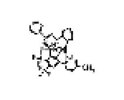 Cc1ccc2[n+](c1)C1C(c3ccccc3-c3cc(-c4ccccc4)cc[n+]3C)C1c1c-2cc(C(F)(F)F)c(C(F)(F)F)c1C(F)(F)F